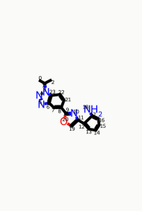 CC(C)n1nnc2cc(-c3nc(-c4ccccc4N)co3)ccc21